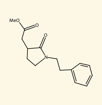 COC(=O)CC1CCN(CCc2ccccc2)C1=O